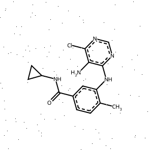 Cc1ccc(C(=O)NC2CC2)cc1Nc1ncnc(Cl)c1N